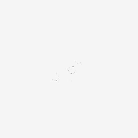 Cc1cnc(C(C)(C)C(O)c2ccc(NC(=O)OC(C)(C)C)cn2)nc1